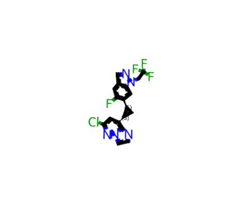 Fc1cc2cnn(CC(F)(F)F)c2cc1[C@H]1C[C@@H]1c1cc(Cl)nn2ccnc12